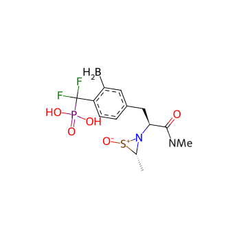 Bc1cc(C[C@@H](C(=O)NC)N2[C@H](C)[S+]2[O-])ccc1C(F)(F)P(=O)(O)O